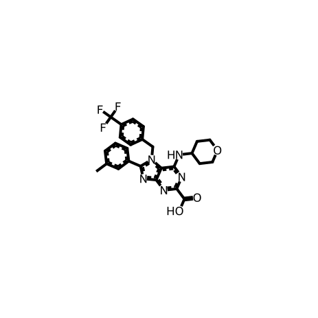 Cc1cccc(-c2nc3nc(C(=O)O)nc(NC4CCOCC4)c3n2Cc2ccc(C(F)(F)F)cc2)c1